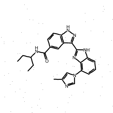 CCC(CC)NC(=O)c1ccc2[nH]nc(-c3nc4c(-n5cnc(C)c5)cccc4[nH]3)c2c1